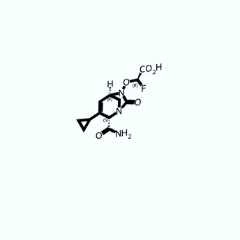 NC(=O)[C@@H]1C(C2CC2)=C[C@@H]2CN1C(=O)N2O[C@H](F)C(=O)O